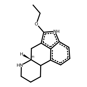 CCOc1[nH]c2cccc3c2c1C[C@H]1NCCCC31